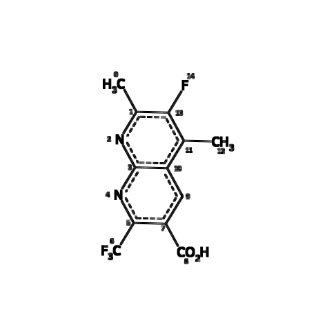 Cc1nc2nc(C(F)(F)F)c(C(=O)O)cc2c(C)c1F